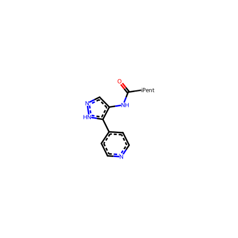 CCCC(C)C(=O)Nc1cn[nH]c1-c1ccncc1